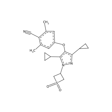 Cc1cc(Oc2c(C3CC3)nn(C3CS(=O)(=O)C3)c2C2CC2)cc(C)c1C#N